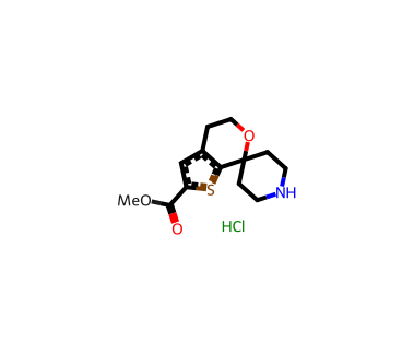 COC(=O)c1cc2c(s1)C1(CCNCC1)OCC2.Cl